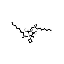 CCCCCCCN(C)CN1C(=O)N(CN(C)CCCCCCC)C(C)(C2CCC2)C1=O